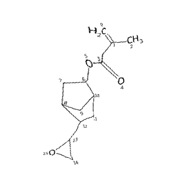 C=C(C)C(=O)OC1CC2CC1CC2C1CO1